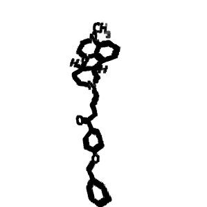 CN1CCN2c3c(cccc31)[C@@H]1CN(CCCC(=O)c3ccc(OCc4ccc(F)cc4)cc3)CC[C@@H]12